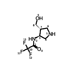 O=C(N[C@@H]1CNC[C@H]1CO)C(F)(F)F